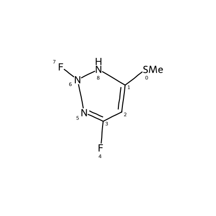 CSC1=CC(F)=NN(F)N1